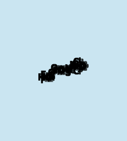 O=C(COc1cc(C(F)(F)F)ccn1)N1CCC(c2nc(C3=NOC(c4c(Cl)cccc4Cl)C3)cs2)CC1